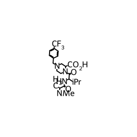 CNC(C)C(=O)NC(C(=O)N1CCN(Cc2ccc(C(F)(F)F)cc2)CC1C(=O)O)C(C)C